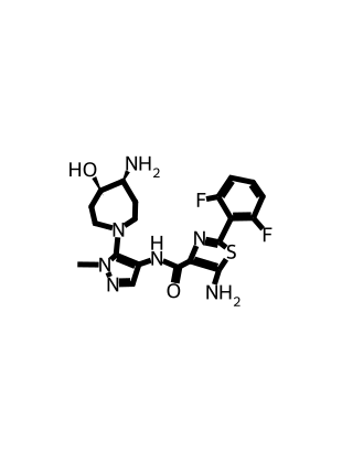 Cn1ncc(NC(=O)c2nc(-c3c(F)cccc3F)sc2N)c1N1CC[C@@H](O)[C@@H](N)CC1